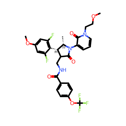 COCCn1cccc(N2C(=O)C(CNC(=O)c3ccc(OC(F)(F)F)cc3)[C@H](c3c(F)cc(OC)cc3F)[C@@H]2C)c1=O